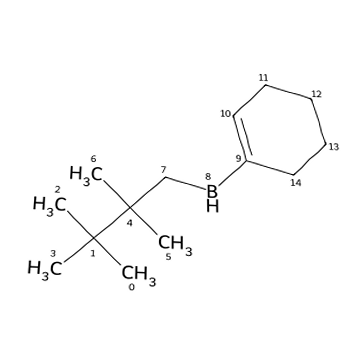 CC(C)(C)C(C)(C)CBC1=CCCCC1